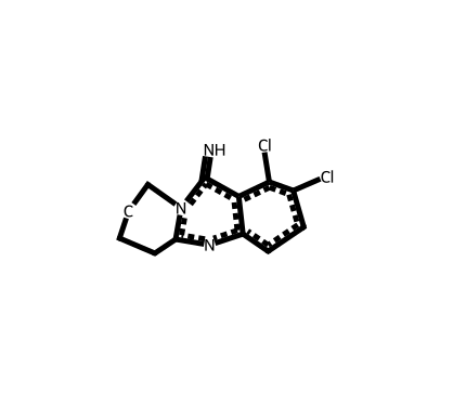 N=c1c2c(Cl)c(Cl)ccc2nc2n1CCCC2